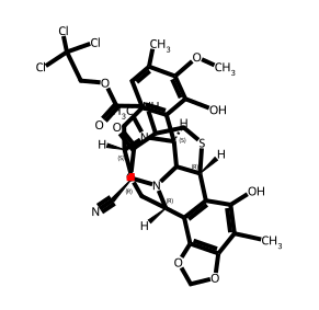 COc1c(C)cc2c(c1O)[C@H]1C3[C@@H]4SCC(NC(=O)OCC(Cl)(Cl)Cl)C(=O)OC[C@@H](c5c6c(c(C)c(O)c54)OCO6)N3[C@@H](C#N)[C@H](C2)N1C